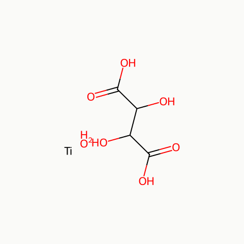 O.O=C(O)C(O)C(O)C(=O)O.[Ti]